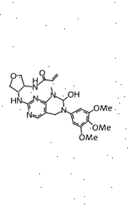 C=CC(=O)NC1COCC1Nc1ncc2c(n1)N(C)C(O)N(c1cc(OC)c(OC)c(OC)c1)C2